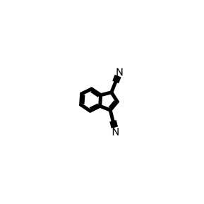 N#CC1=CC(C#N)c2ccccc21